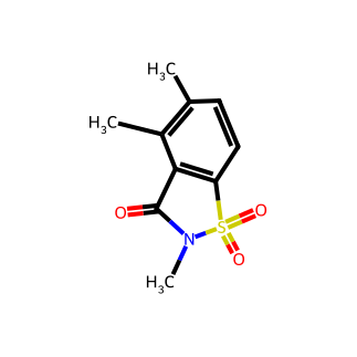 Cc1ccc2c(c1C)C(=O)N(C)S2(=O)=O